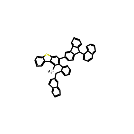 Cc1c(-c2ccccc2Cc2ccc3ccccc3c2)c(-c2ccc3c(c2)-c2ccccc2C3c2cccc3ccccc23)cc2sc3ccccc3c12